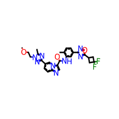 COCCn1nc(-c2ccc3ncc(C(=O)Nc4cc(-c5noc(C6CC(F)(F)C6)n5)ccc4C)n3c2)nc1C